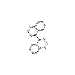 c1ccc2c(-c3nnnc4ccccc34)nnnc2c1